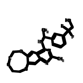 Cc1nc(NC(C)c2cccc(C(F)(F)CO)c2)c2cc3c(cc2n1)OCCOCCO3